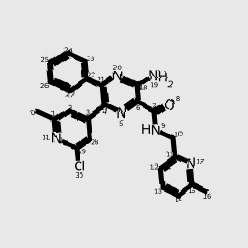 Cc1cc(-c2nc(C(=O)NCc3cccc(C)n3)c(N)nc2-c2ccccc2)cc(Cl)n1